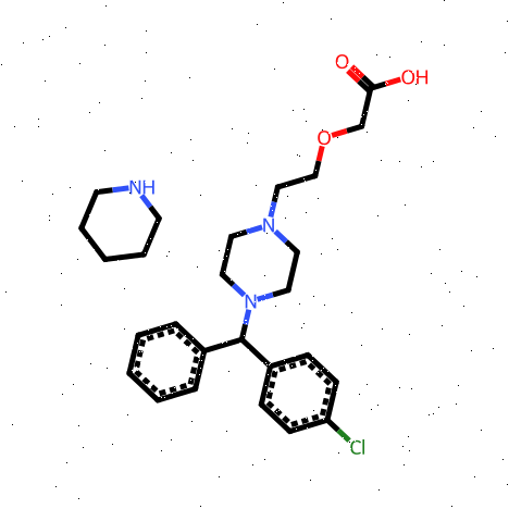 C1CCNCC1.O=C(O)COCCN1CCN(C(c2ccccc2)c2ccc(Cl)cc2)CC1